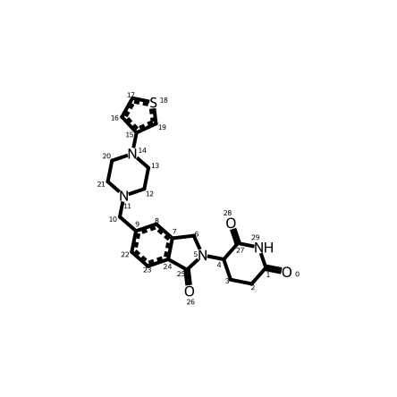 O=C1CCC(N2Cc3cc(CN4CCN(c5ccsc5)CC4)ccc3C2=O)C(=O)N1